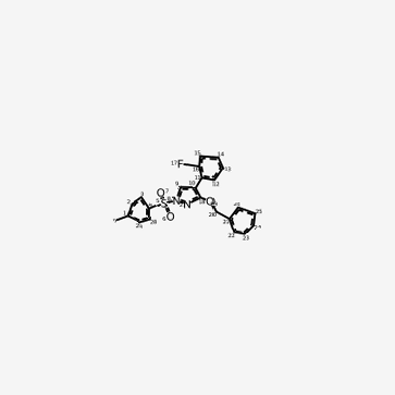 Cc1ccc(S(=O)(=O)n2cc(-c3ccccc3F)c(OCc3ccccc3)n2)cc1